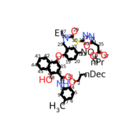 CCCCCCCCCCCCOc1ccc(C)cc1NC(=O)c1cc(Oc2ccc([N+](=O)[O-])cc2CN(CC)C(=O)Sc2nnc(CC(=O)OCCC)o2)c2ccccc2c1O